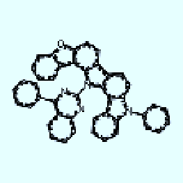 c1ccc(-c2nc(-n3c4c(ccc5oc6ccccc6c54)c4ccc5c(c6ccccc6n5-c5ccccc5)c43)nc3ccccc23)cc1